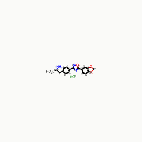 Cl.N[C@@H](Cc1ccc(-c2noc(-c3ccc4c(c3)OCO4)n2)cc1)C(=O)O